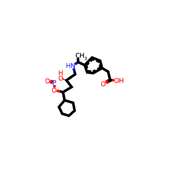 CC(NC[C@@H](O)CC(OP=O)C1CCCCC1)c1ccc(CC(=O)O)cc1